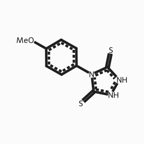 COc1ccc(-n2c(=S)[nH][nH]c2=S)cc1